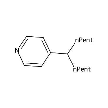 CCCCCC(CCCCC)c1ccncc1